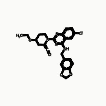 CCOC1CCN(c2nc(NCc3ccc4c(c3)OCO4)c3cc(Cl)ccc3n2)C(=C=O)C1